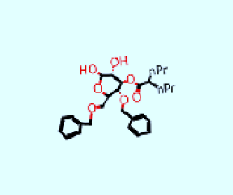 CCCC(CCC)C(=O)O[C@H]1[C@H](OCc2ccccc2)[C@@H](COCc2ccccc2)OC(O)[C@@H]1O